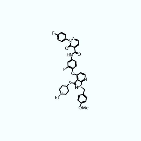 CCN1CCC(Sc2nn(Cc3ccc(OC)cc3)c3nccc(Oc4ccc(NC(=O)c5ccnn(-c6ccc(F)cc6)c5=O)cc4F)c23)CC1